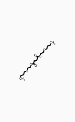 CCCCOCCOC(=O)C=CC(=O)OCCOCCCC